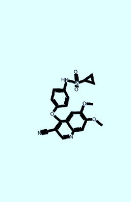 COc1cc2ncc(C#N)c(Oc3ccc(NS(=O)(=O)C4CC4)cc3)c2cc1OC